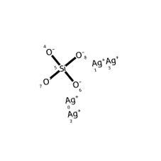 [Ag+].[Ag+].[Ag+].[Ag+].[O-][Si]([O-])([O-])[O-]